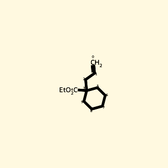 C=CCC1(C(=O)OCC)CCCCC1